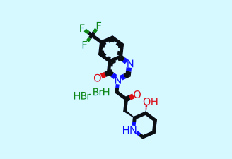 Br.Br.O=C(C[C@@H]1NCCC[C@H]1O)Cn1cnc2ccc(C(F)(F)F)cc2c1=O